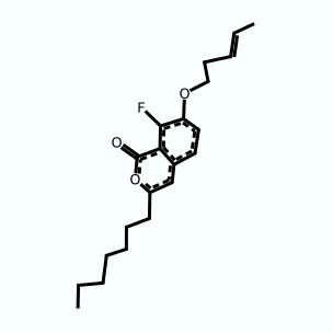 C/C=C/CCOc1ccc2cc(CCCCCCC)oc(=O)c2c1F